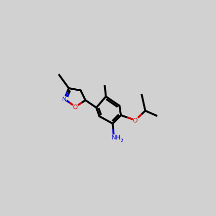 CC1=NOC(c2cc(N)c(OC(C)C)cc2C)C1